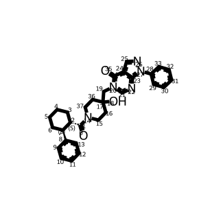 O=C([C@H]1CCCC[C@@H]1c1ccccc1)N1CCC(O)(Cn2cnc3c(cnn3-c3ccccc3)c2=O)CC1